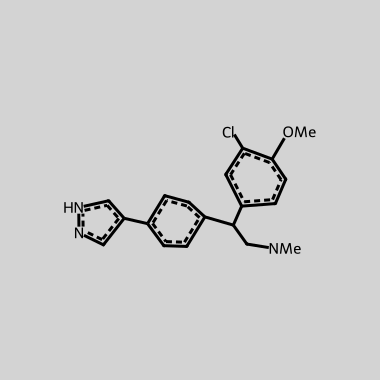 CNCC(c1ccc(-c2cn[nH]c2)cc1)c1ccc(OC)c(Cl)c1